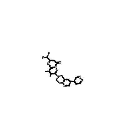 Cc1c(N2CCc3ncc(-c4ccnnc4)cc3C2)nn2c(=O)cc(C(F)F)nc2c1C